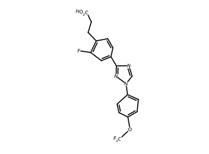 O=C(O)CCc1ccc(-c2ncn(-c3ccc(OC(F)(F)F)cc3)n2)cc1F